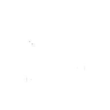 C=C(CC)C(N)C(=O)O